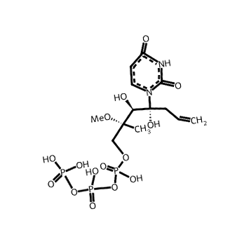 C=CC[C@@](O)([C@H](O)[C@@](C)(COP(=O)(O)OP(=O)(O)OP(=O)(O)O)OC)n1ccc(=O)[nH]c1=O